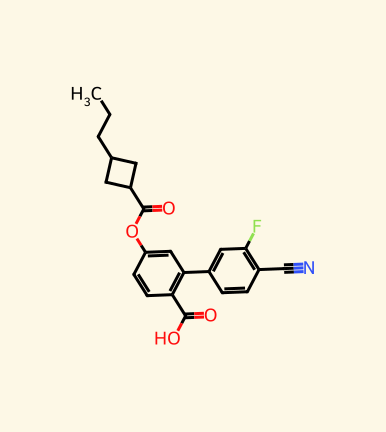 CCCC1CC(C(=O)Oc2ccc(C(=O)O)c(-c3ccc(C#N)c(F)c3)c2)C1